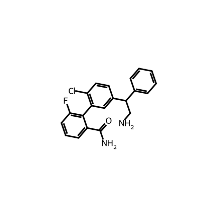 NCC(c1ccccc1)c1ccc(Cl)c(-c2c(F)cccc2C(N)=O)c1